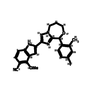 COc1c(C#N)ccc2[nH]c(-c3nc4n(n3)CCCOC4c3ccc(F)cc3C)cc12